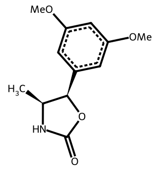 COc1cc(OC)cc([C@H]2OC(=O)N[C@H]2C)c1